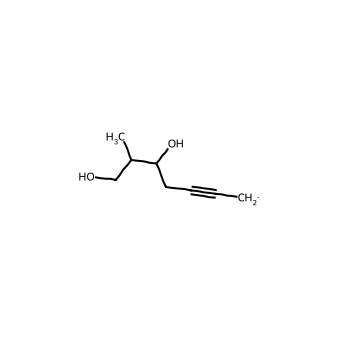 [CH2]C#CCC(O)C(C)CO